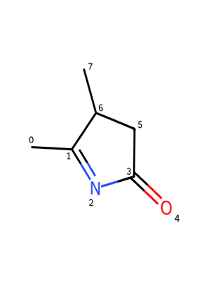 CC1=NC(=O)CC1C